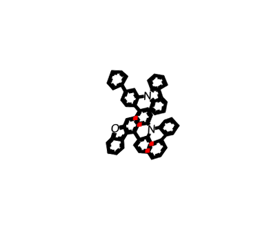 c1ccc(-c2ccc(-c3ccc(N(c4ccccc4-c4ccccc4)c4ccccc4-c4cccc5oc6ccccc6c45)cc3)c(-n3c4ccccc4c4ccccc43)c2)cc1